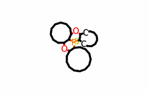 S=P12C3CCCCCCCCCCCC3OC3CCCCCCCCC(OC4CCCCCCCCCC41)C32